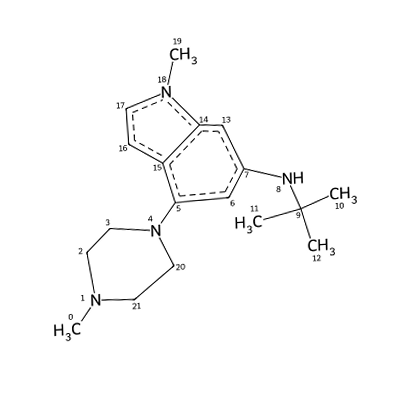 CN1CCN(c2cc(NC(C)(C)C)cc3c2ccn3C)CC1